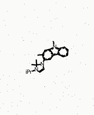 Cc1cc2c(cc1N1C=CN(C(C)C)C1(C)C)c1ccccc1n2C